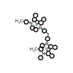 Cc1ccc(N(c2ccccc2)c2cc3ccccc3c3c2sc2c(N(c4ccccc4)c4ccc(Cc5ccc(N(c6ccccc6)c6cc7ccccc7c7c6sc6c(N(c8ccccc8)c8cccc(C)c8)cc8ccccc8c67)cc5)cc4)cc4ccccc4c23)cc1